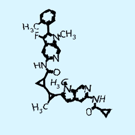 CC1=C(c2cc3cc(NC(=O)C4CC4)ncc3n2C)C1C1CC1C(=O)Nc1cc2c(F)c(-c3ccccc3C)n(C)c2cn1